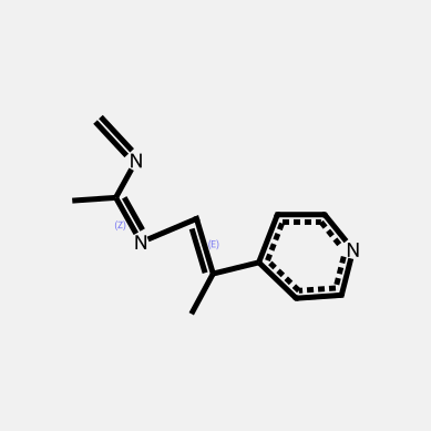 C=N/C(C)=N\C=C(/C)c1ccncc1